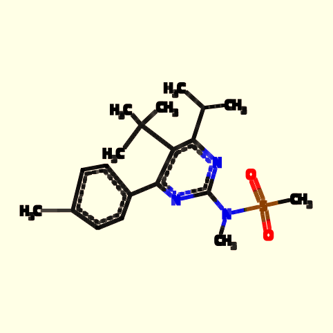 Cc1ccc(-c2nc(N(C)S(C)(=O)=O)nc(C(C)C)c2C(C)(C)C)cc1